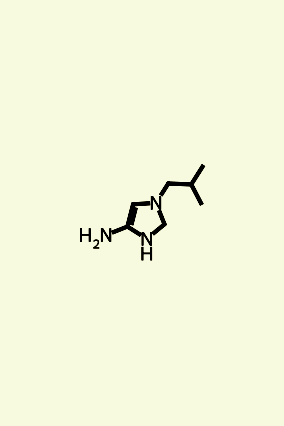 CC(C)CN1C=C(N)NC1